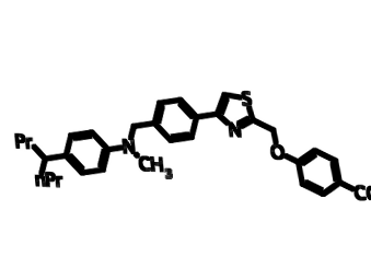 CCCC(CCC)c1ccc(N(C)Cc2ccc(-c3csc(COc4ccc(C(=O)O)cc4)n3)cc2)cc1